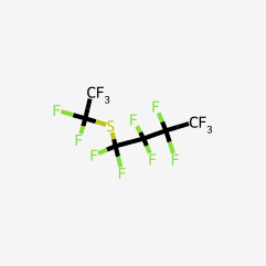 FC(F)(F)C(F)(F)SC(F)(F)C(F)(F)C(F)(F)C(F)(F)F